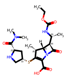 CCOC(=O)N[C@H](C)[C@H]1C(=O)N2C(C(=O)O)=C(S[C@@H]3CN[C@H](C(=O)N(C)C)C3)[C@H](C)[C@H]12